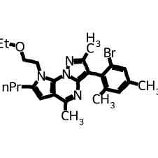 CCCc1cc2c(C)nc3c(-c4c(C)cc(C)cc4Br)c(C)nn3c2n1CCOCC